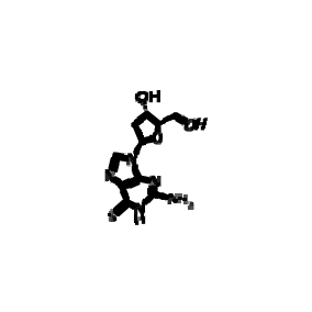 Nc1nc2c(ncn2[C@H]2C[C@H](O)[C@@H](CO)O2)c(=S)[nH]1